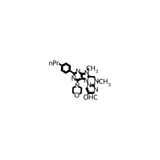 CCCc1ccc(-c2nc(N3CCOCC3)c3nc(CN(C)c4ncc(C=O)cn4)n(C)c3n2)cc1